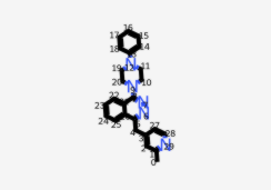 Cc1cc(Cc2nnc(N3CCN(c4ccccc4)CC3)c3ccccc23)ccn1